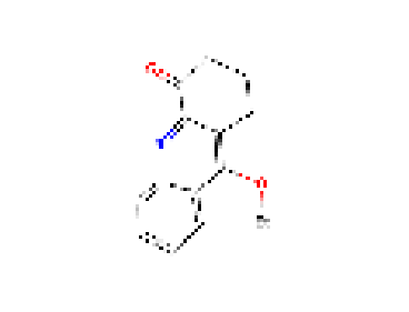 CCOc1c2c(nc3ccccc13)C(=O)CCC2